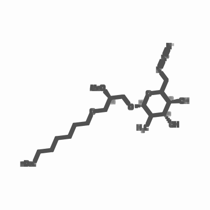 CCCCCCCCCCCCCCCCOC[C@H](CO[C@@H]1OC(CN=[N+]=[N-])[C@@H](O)[C@H](O)C1C)OC